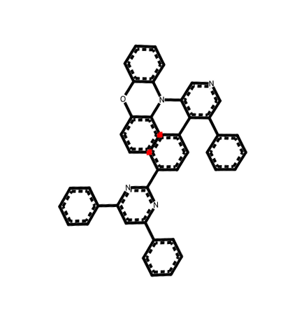 c1ccc(-c2cc(-c3ccccc3)nc(-c3ccc(-c4c(-c5ccccc5)cncc4N4c5ccccc5Oc5ccccc54)cc3)n2)cc1